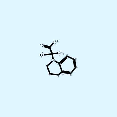 CC(C)(C(=O)O)N1CCCc2ccccc21